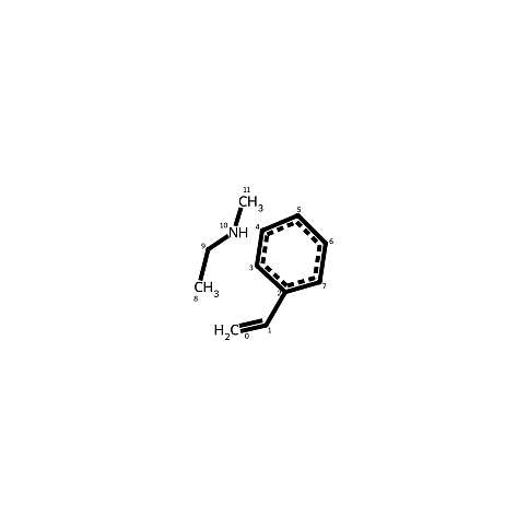 C=Cc1ccccc1.CCNC